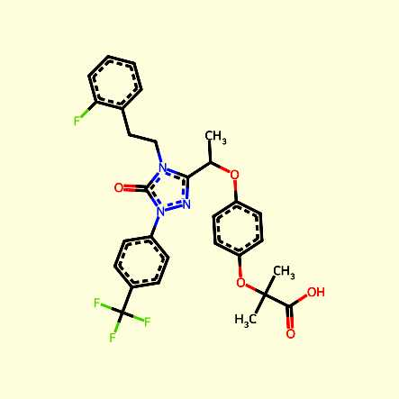 CC(Oc1ccc(OC(C)(C)C(=O)O)cc1)c1nn(-c2ccc(C(F)(F)F)cc2)c(=O)n1CCc1ccccc1F